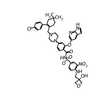 CC1(C)CCC(CN2CCN(c3ccc(C(=O)NS(=O)(=O)c4ccc(NCC5(O)COC5)c([N+](=O)[O-])c4)c(Oc4cnc5[nH]ccc5c4)c3)CC2)=C(c2ccc(Cl)cc2)C1